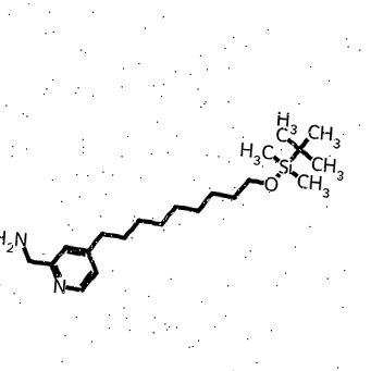 CC(C)(C)[Si](C)(C)OCCCCCCCCCc1ccnc(CN)c1